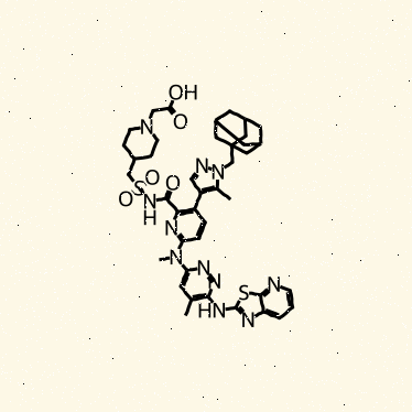 Cc1cc(N(C)c2ccc(-c3cnn(CC45CC6CC(CC(C6)C4)C5)c3C)c(C(=O)NS(=O)(=O)CC3CCN(CC(=O)O)CC3)n2)nnc1Nc1nc2cccnc2s1